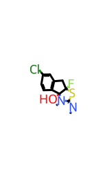 CN=C1SC2(F)Cc3cc(Cl)ccc3C2(O)N1C